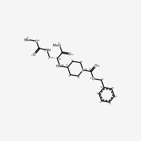 COC(=O)[C@@H](CNC(=O)OC(C)(C)C)NC1CCN(C(=O)OCc2ccccc2)CC1